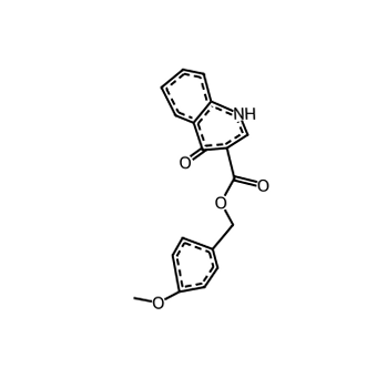 COc1ccc(COC(=O)c2c[nH]c3ccccc3c2=O)cc1